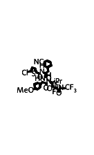 COc1ccc(C(NC(=O)C(Cc2cccc(C#N)c2)NC(=O)c2ccc(Cl)s2)C(=O)N[C@H](C(=O)C(F)(F)C(=O)NCC(F)(F)F)C(C)C)cc1